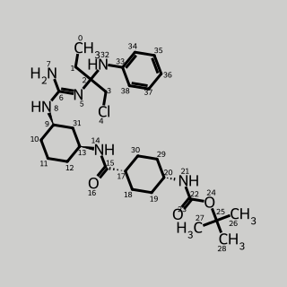 CCC(CCl)(N=C(N)N[C@@H]1CCC[C@H](NC(=O)[C@H]2CC[C@@H](NC(=O)OC(C)(C)C)CC2)C1)Nc1ccccc1